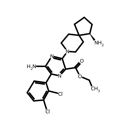 CCOC(=O)c1nc(-c2cccc(Cl)c2Cl)c(N)nc1N1CCC2(CCC[C@H]2N)CC1